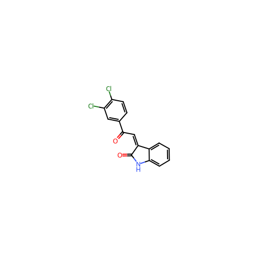 O=C1Nc2ccccc2C1=CC(=O)c1ccc(Cl)c(Cl)c1